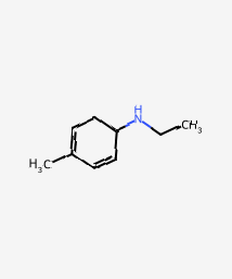 CCNC1C=CC(C)=CC1